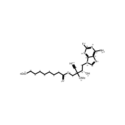 C#CC(COC(=O)CCCCCCCCCCCCCCCCC)(OC)[C@@H](O)Cn1cnc2c(N)nc(F)nc21